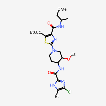 CCOC(=O)c1sc(N2CCC(NC(=O)c3nc(Cl)c(CC)[nH]3)C(OCC)C2)nc1C(=O)NC(C)COC